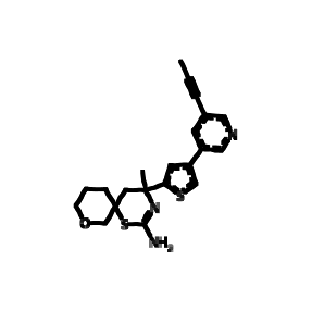 CC#Cc1cncc(-c2csc(C3(C)CC4(CCCOC4)SC(N)=N3)c2)c1